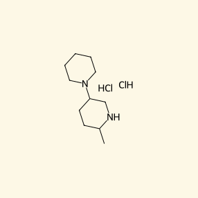 CC1CCC(N2CCCCC2)CN1.Cl.Cl